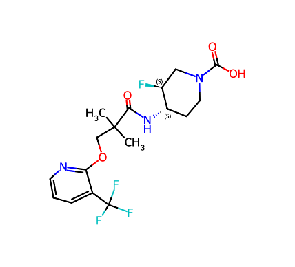 CC(C)(COc1ncccc1C(F)(F)F)C(=O)N[C@H]1CCN(C(=O)O)C[C@@H]1F